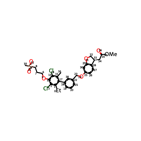 CCc1c(Cl)c(OCCCS(C)(=O)=O)c(Cl)c(C)c1-c1cccc(COc2ccc3c(c2)OC[C@H]3CC(=O)OC)c1